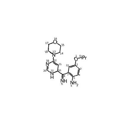 CC(C)Oc1ccc(N)c(C(=N)C2C=C(N3CCOCC3)N=CN2)c1